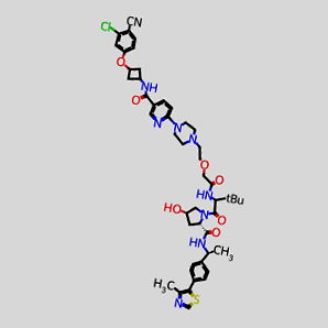 Cc1ncsc1-c1ccc([C@H](C)NC(=O)[C@@H]2C[C@@H](O)CN2C(=O)C(NC(=O)COCCN2CCN(c3ccc(C(=O)NC4CC(Oc5ccc(C#N)c(Cl)c5)C4)cn3)CC2)C(C)(C)C)cc1